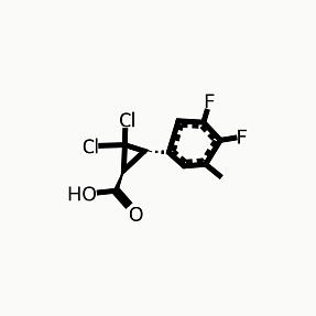 Cc1cc([C@@H]2[C@@H](C(=O)O)C2(Cl)Cl)cc(F)c1F